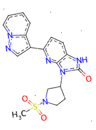 CS(=O)(=O)N1CCC(n2c(=O)[nH]c3ccc(-c4cnn5ccccc45)nc32)C1